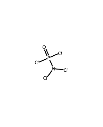 O=P(Cl)(Cl)N(Cl)Cl